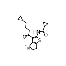 C[C@@H]1CCc2sc(NC(=O)C3CC3)c(C(=O)CCCC3CC3)c21